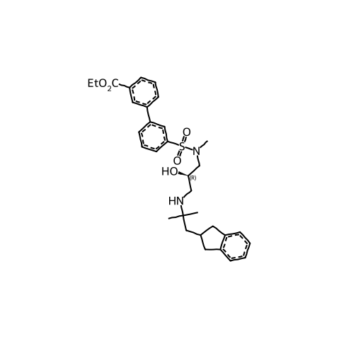 CCOC(=O)c1cccc(-c2cccc(S(=O)(=O)N(C)C[C@H](O)CNC(C)(C)CC3Cc4ccccc4C3)c2)c1